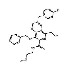 COCCNC(=O)c1nc(CO)c2cc(Cc3ccc(F)cc3)cnc2c1OCc1ccccc1